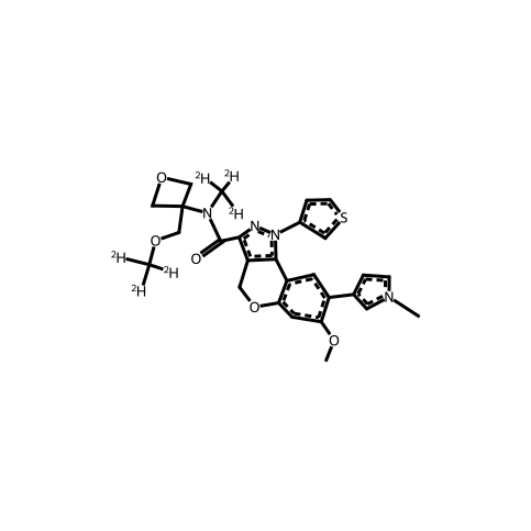 [2H]C([2H])([2H])OCC1(N(C(=O)c2nn(-c3ccsc3)c3c2COc2cc(OC)c(-c4ccn(C)c4)cc2-3)C([2H])([2H])[2H])COC1